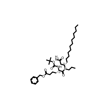 CCCCCCCCCCCCC[C@@H](CC(N)=O)N(CCC)C(=O)[C@H](CCCC(=O)OCc1ccccc1)NC(=O)OC(C)(C)C